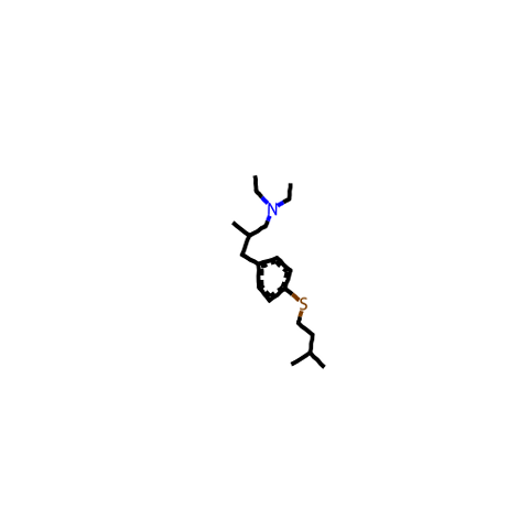 CCN(CC)CC(C)Cc1ccc(SCCC(C)C)cc1